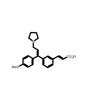 CCOC(=O)/C=C/c1cccc(C(=CCN2CCCC2)c2ccc(OC)cc2)c1